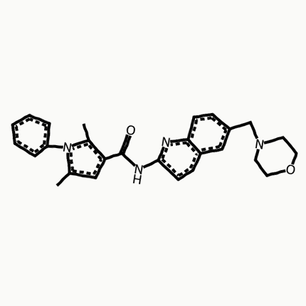 Cc1cc(C(=O)Nc2ccc3cc(CN4CCOCC4)ccc3n2)c(C)n1-c1ccccc1